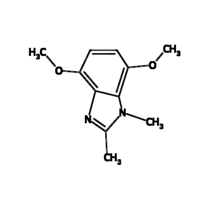 COc1ccc(OC)c2c1nc(C)n2C